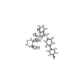 O=C(N[C@H]1CCCC[C@@H]1O)c1cn(Cc2ccc(-c3ccc(F)cc3)cc2)c2cccnc12